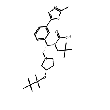 Cc1nnc(-c2cccc([C@@H](CN3CC[C@H](O[Si](C)(C)C(C)(C)C)C3)N(CC(C)(C)C)C(=O)O)c2)s1